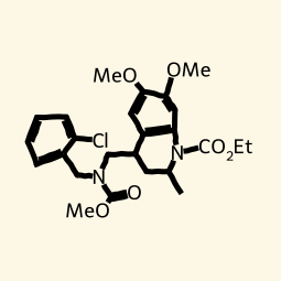 CCOC(=O)N1c2cc(OC)c(OC)cc2C(CN(Cc2ccccc2Cl)C(=O)OC)CC1C